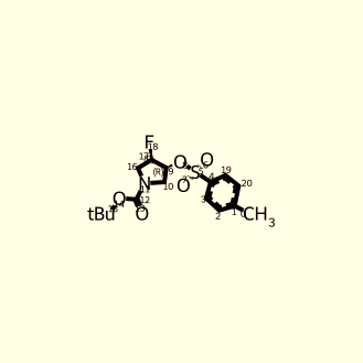 Cc1ccc(S(=O)(=O)O[C@@H]2CN(C(=O)OC(C)(C)C)C[C@H]2F)cc1